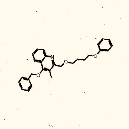 Cc1c(COCCCCOc2ccccc2)nc2ccccc2c1OCc1ccccc1